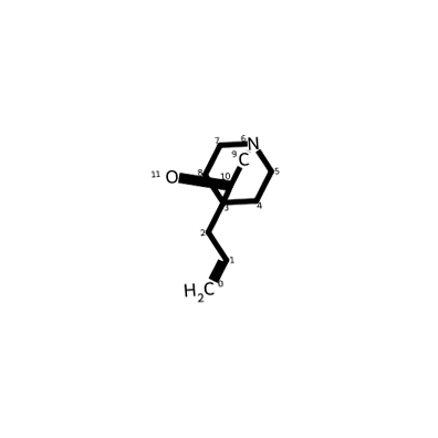 C=CCC12CCN(CC1)CC2=O